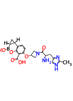 Cc1nc(C[C@@H](N)C(=O)N2CC(Oc3ccc4c(c3C(=O)O)OB(O)[C@@H]3C[C@H]43)C2)c[nH]1